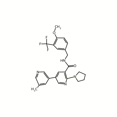 COc1ccc(CNC(=O)c2cc(-c3cncc(C)c3)cnc2N2CCCC2)cc1C(F)(F)F